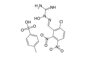 Cc1ccc(S(=O)(=O)O)cc1.N=C(N)N(O)N=Cc1c(Cl)ccc([N+](=O)[O-])c1[N+](=O)[O-]